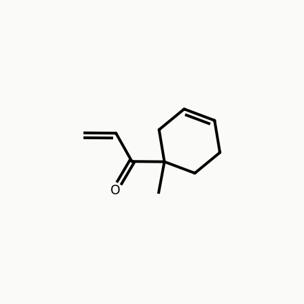 C=CC(=O)C1(C)CC=CCC1